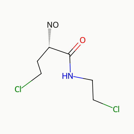 O=N[C@@H](CCCl)C(=O)NCCCl